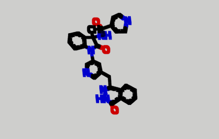 CC1(NC(=O)c2ccncc2)C(=O)N(c2cncc(Cc3n[nH]c(=O)c4ccccc34)c2)c2ccccc21